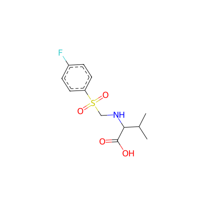 CC(C)C(NCS(=O)(=O)c1ccc(F)cc1)C(=O)O